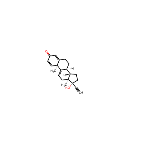 C#C[C@]1(O)CC[C@H]2[C@@H]3CCC4=CC(=O)C=C[C@]4(C)C3=CC[C@@]21C